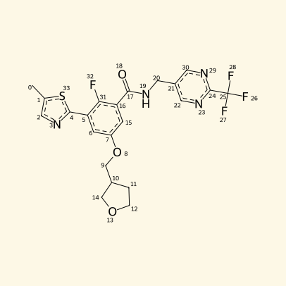 Cc1cnc(-c2cc(OCC3CCOC3)cc(C(=O)NCc3cnc(C(F)(F)F)nc3)c2F)s1